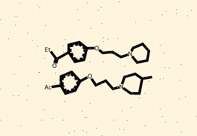 CC(=O)c1ccc(OCCCN2CCC(C)CC2)cc1.CCC(=O)c1ccc(OCCCN2CCCCC2)cc1